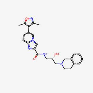 Cc1noc(C)c1-c1ccc2nc(C(=O)NC[C@H](O)CN3CCc4ccccc4C3)cn2c1